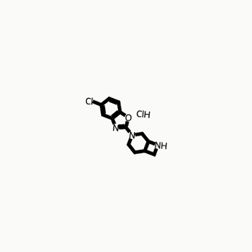 Cl.Clc1ccc2oc(N3CCC4CNC4C3)nc2c1